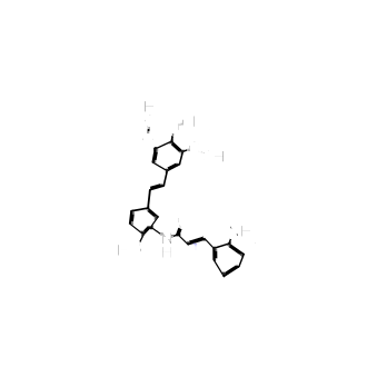 COc1cc(C=Cc2ccc(O)c(NC(=O)/C=C/c3ccccc3N)c2)cc(OC)c1OC